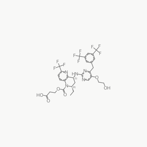 CC[C@@H]1C[C@H](Nc2ncc(OCCO)c(Cc3cc(C(F)(F)F)cc(C(F)(F)F)c3)n2)c2nc(C(F)(F)F)ccc2N1C(=O)OCCC(=O)O